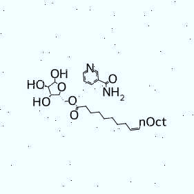 CCCCCCCC/C=C\CCCCCCCC(=O)OC[C@H]1OC(O)[C@H](O)[C@@H]1O.NC(=O)c1cccnc1